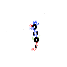 Cn1nnc2c(=O)[nH]c(N3CCN(c4c(F)cc(OCCO)cc4F)CC3)cc21